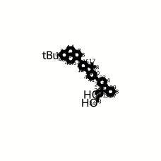 CC(C)(C)c1cc2ccc3ccc(-c4ccc5c(c4)C(C)(C)c4cc(-c6ccc7c(c6)C(CO)(CCCO)c6ccccc6-7)ccc4-5)c4ccc(c1)c2c34